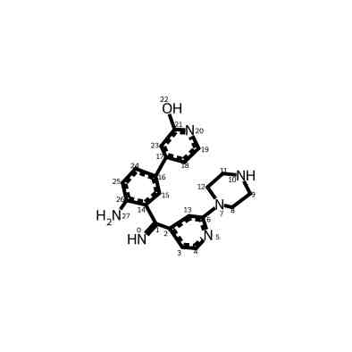 N=C(c1ccnc(N2CCNCC2)c1)c1cc(-c2ccnc(O)c2)ccc1N